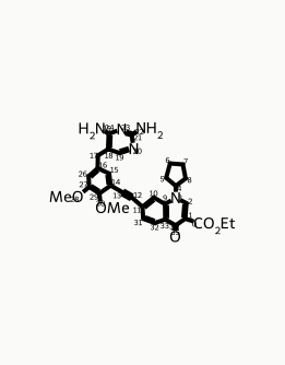 CCOC(=O)c1cn(C2CCCC2)c2cc(C#Cc3cc(Cc4cnc(N)nc4N)cc(OC)c3OC)ccc2c1=O